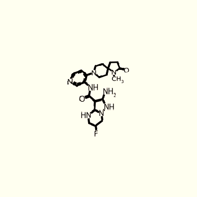 CN1C(=O)CCC12CCN(c1ccncc1NC(=O)C1C(N)NN3CC(F)CNC13)CC2